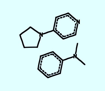 CN(C)c1ccccc1.c1cc(N2CCCC2)ccn1